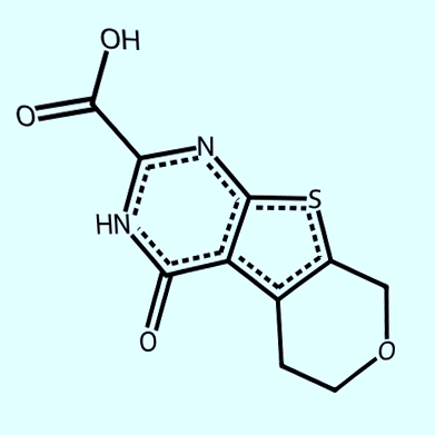 O=C(O)c1nc2sc3c(c2c(=O)[nH]1)CCOC3